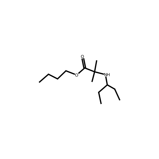 CCCCOC(=O)C(C)(C)NC(CC)CC